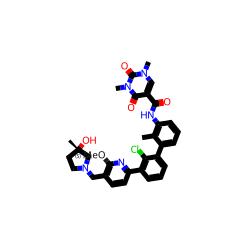 COc1nc(-c2cccc(-c3cccc(NC(=O)c4cn(C)c(=O)n(C)c4=O)c3C)c2Cl)ccc1CN1CC[C@](C)(O)C1